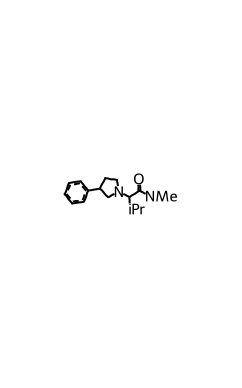 CNC(=O)C(C(C)C)N1CCC(c2ccccc2)C1